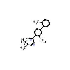 C=C(C)/C=N\C(=C/C)c1ccc(-c2ccccc2C)cc1C